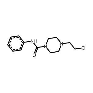 O=C(Nc1ccccc1)N1CCN(CCCl)CC1